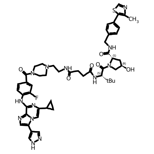 Cc1ncsc1-c1ccc(CNC(=O)[C@@H]2C[C@@H](O)CN2C(=O)[C@@H](NC(=O)CCC(=O)NCCN2CCN(C(=O)c3ccc(Nc4nc(C5CC5)cn5c(-c6cn[nH]c6)cnc45)c(F)c3)CC2)C(C)(C)C)cc1